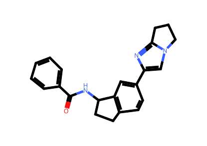 O=C(NC1CCc2ccc(-c3cn4c(n3)CCC4)cc21)c1ccccc1